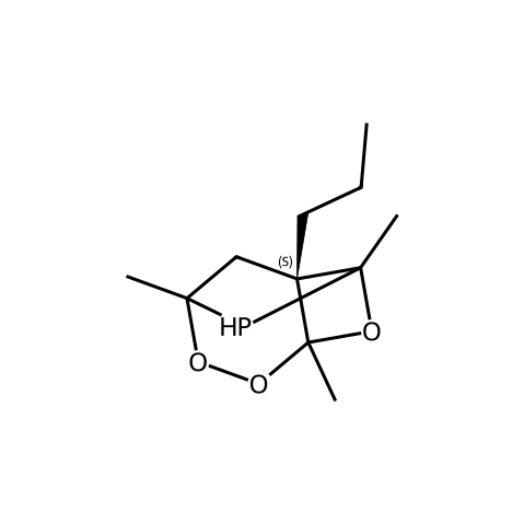 CCC[C@]12CC3(C)OOC1(C)OC2(C)P3